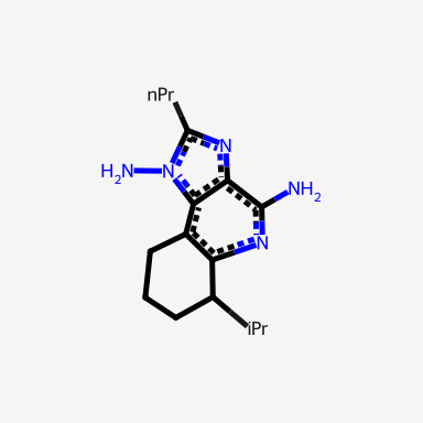 CCCc1nc2c(N)nc3c(c2n1N)CCCC3C(C)C